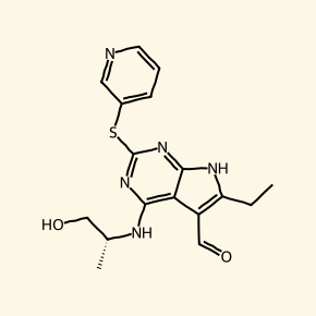 CCc1[nH]c2nc(Sc3cccnc3)nc(N[C@H](C)CO)c2c1C=O